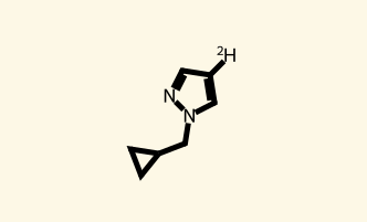 [2H]c1cnn(CC2CC2)c1